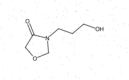 O=C1COCN1CCCO